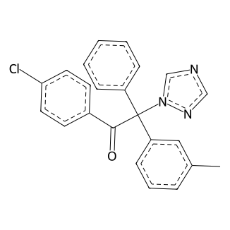 Cc1cccc(C(C(=O)c2ccc(Cl)cc2)(c2ccccc2)n2cncn2)c1